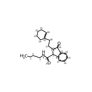 CCCCNC(=O)C1c2ccccc2C(=O)N1CCC1=CCCCC1